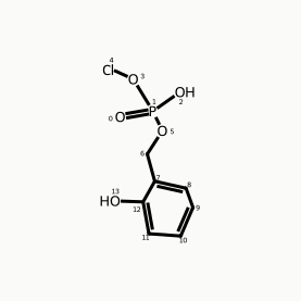 O=P(O)(OCl)OCc1ccccc1O